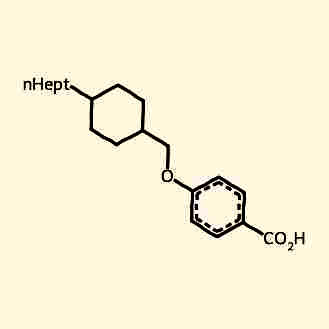 CCCCCCCC1CCC(COc2ccc(C(=O)O)cc2)CC1